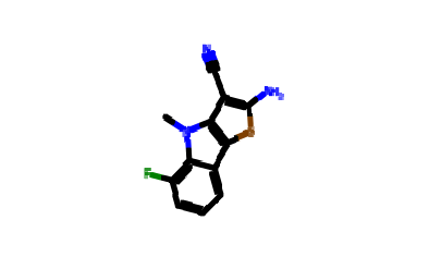 Cn1c2c(F)cccc2c2sc(N)c(C#N)c21